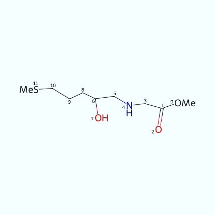 COC(=O)CNCC(O)CCCSC